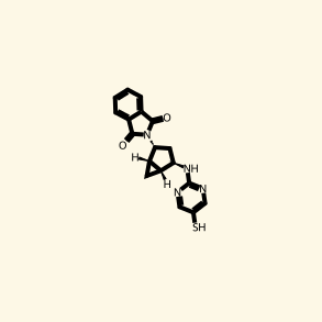 O=C1c2ccccc2C(=O)N1[C@@H]1C[C@@H](Nc2ncc(S)cn2)[C@@H]2C[C@@H]21